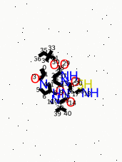 C=CC(=O)N1CC[C@H](C(=O)N(C)[C@H](C(=O)N[C@@H](CC(=N)S)C(=O)N2CCC[C@@H](C(=O)OCC(C)(C)CC)N2)C(C)C)C1